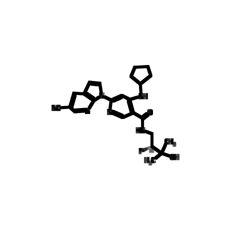 CC(C)(O)[C@H](F)CNC(=O)c1cnc(-n2ccc3cc(C#N)cnc32)cc1NC1CCCC1